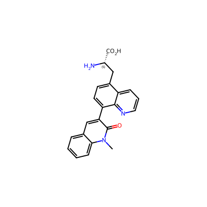 Cn1c(=O)c(-c2ccc(C[C@H](N)C(=O)O)c3cccnc23)cc2ccccc21